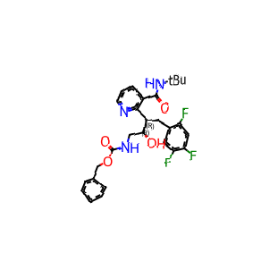 CC(C)(C)NC(=O)c1cccnc1[C@@H](Cc1cc(F)c(F)cc1F)[C@@H](O)CNC(=O)OCc1ccccc1